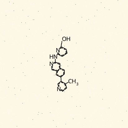 Cc1ccncc1-c1ccc2cc(Nc3cccc(CO)n3)ncc2c1